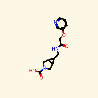 O=C(COc1cccnc1)NCC1C2CN(C(=O)O)CC12